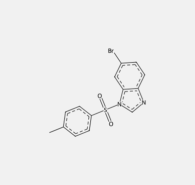 Cc1ccc(S(=O)(=O)n2cnc3ccc(Br)cc32)cc1